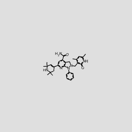 Cc1cc(C)c(CN2Cc3c(C(N)=O)cc(C4=CC(C)(C)NC(C)(C)C4)nc3N2c2ccccc2)c(=O)[nH]1